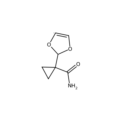 NC(=O)C1(C2O[C]=CO2)CC1